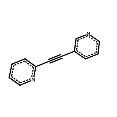 C(#Cc1ccccn1)c1cccnc1